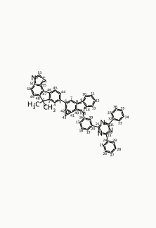 CC1(C)c2cc(-c3cc4c5ccccc5n(-c5cccc(-c6nc(-c7ccccc7)nc(-c7ccccc7)n6)c5)c4c4c3=C=4)ccc2-c2c1ccc1ncsc21